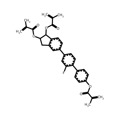 C=C(C)C(=O)Oc1ccc(-c2ccc(-c3ccc4c(c3)CC(OC(=O)C(=C)C)C4OC(=O)C(=C)C)cc2F)cc1